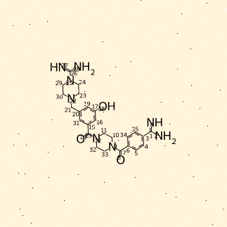 N=C(N)c1ccc(C(=O)N2CCN(C(=O)c3cc(O)cc(CN4CCN(C(=N)N)CC4)c3)CC2)cc1